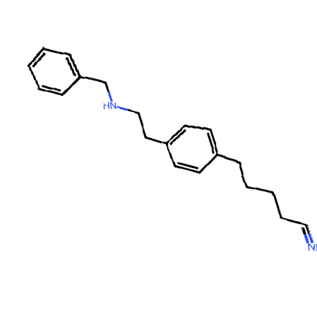 N=CCCCCc1ccc(CCNCc2ccccc2)cc1